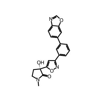 CN1CC[C@@](O)(c2cc(-c3cccc(-c4ccc5ncoc5c4)c3)no2)C1=O